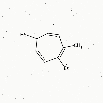 CCC1=C(C)C=CC(S)C=C1